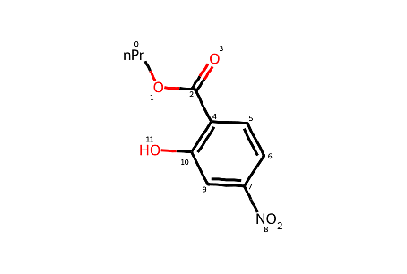 CCCOC(=O)c1ccc([N+](=O)[O-])cc1O